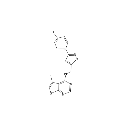 Cc1csc2ncnc(NCc3cc(-c4ccc(F)cc4)no3)c12